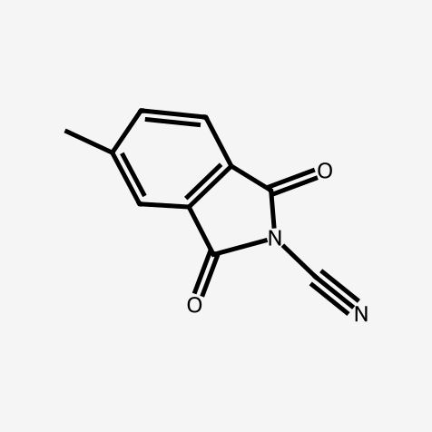 Cc1ccc2c(c1)C(=O)N(C#N)C2=O